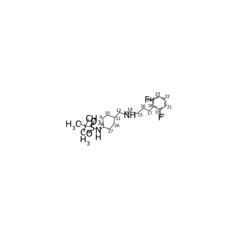 CC(C)(C)S(=O)(=O)NC1CCC(CNCCCCc2c(F)cccc2F)CC1